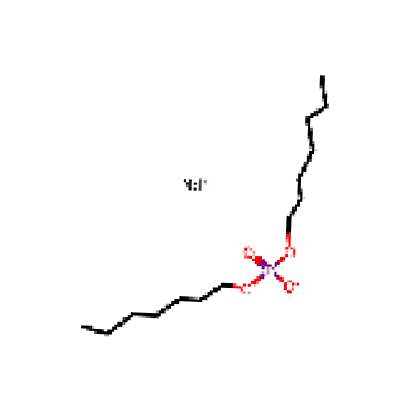 CCCCCCCOP(=O)([O-])OCCCCCCC.[Nd+]